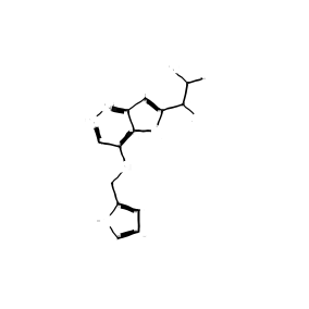 CC(N)C(C)c1cc2nncc(NCc3cccs3)c2s1